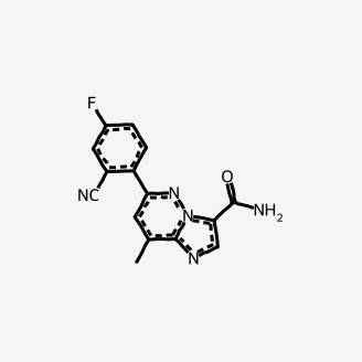 Cc1cc(-c2ccc(F)cc2C#N)nn2c(C(N)=O)cnc12